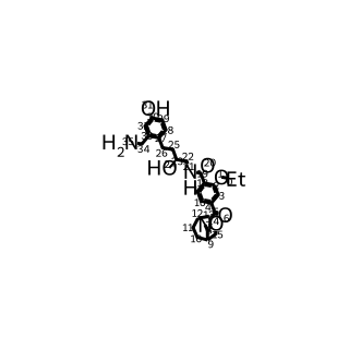 CCOc1cc(C(=O)N2CC3CCC2COC3)ccc1C(=O)NC[C@@H](O)CCc1ccc(O)cc1CN